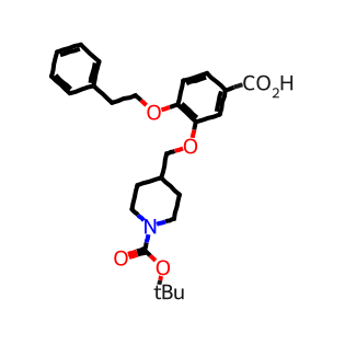 CC(C)(C)OC(=O)N1CCC(COc2cc(C(=O)O)ccc2OCCc2ccccc2)CC1